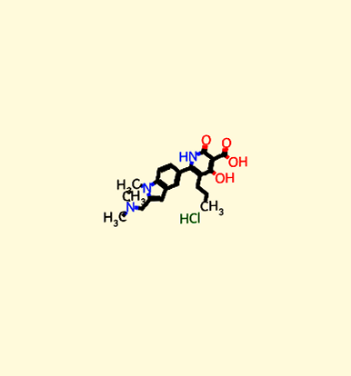 CCCc1c(-c2ccc3c(c2)cc(CN(C)C)n3C)[nH]c(=O)c(C(=O)O)c1O.Cl